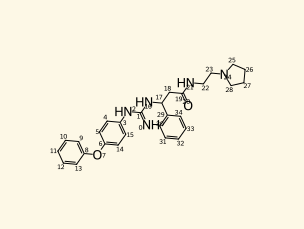 N=C(Nc1ccc(Oc2ccccc2)cc1)NC(CC(=O)NCCN1CCCC1)c1ccccc1